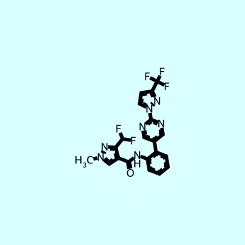 Cn1cc(C(=O)Nc2ccccc2-c2cnc(-n3ccc(C(F)(F)F)n3)nc2)c(C(F)F)n1